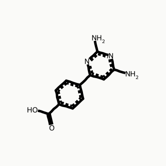 Nc1cc(-c2ccc(C(=O)O)cc2)nc(N)n1